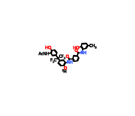 [2H]Oc1ccc(C(c2ccc(O)c(NC(C)=O)c2)(C(F)(F)F)C(F)(F)F)cc1NC(=O)c1cccc(C(=O)Nc2cc(C)ccc2O)c1